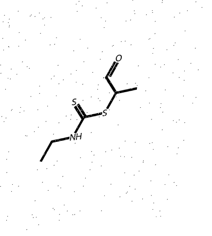 CCNC(=S)SC(C)[C]=O